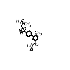 Cc1ccc(C(=O)NC2CC2)cc1-c1ccc(-c2nnc(CN(C)C)o2)cc1